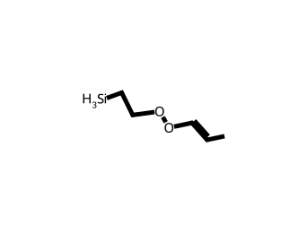 CC=COOCC[SiH3]